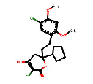 COc1cc(OC)c(CCC2(C3CCCC3)CC(O)=C(Cl)C(=O)O2)cc1Cl